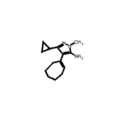 Cn1nc(C2CC2)c(C2=CCCCCC2)c1N